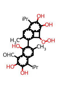 Cc1cc2c(C(C)C)c(O)c(O)c(C=O)c2c(O)c1-c1c(C)cc2c(C(C)C)c(O)c(O)c3c2c1C3OO